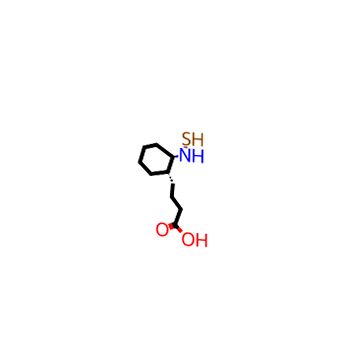 O=C(O)CCC[C@@H]1CCCC[C@@H]1NS